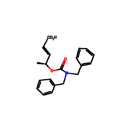 C[C@@H](C=CC(=O)O)OC(=O)N(Cc1ccccc1)Cc1ccccc1